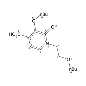 CCCCOCCn1ccc(C(=O)O)c(OCCCC)c1=O